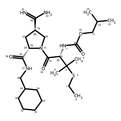 CCSC(C)(C)[C@@H](NC(=O)OCC(C)C)C(=O)N1C[C@H](C(=N)N)C[C@H]1C(=O)NCC1CCCCC1